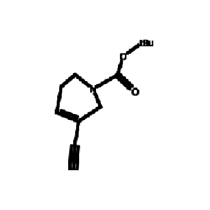 C#CC1=CCCN(C(=O)OC(C)(C)C)C1